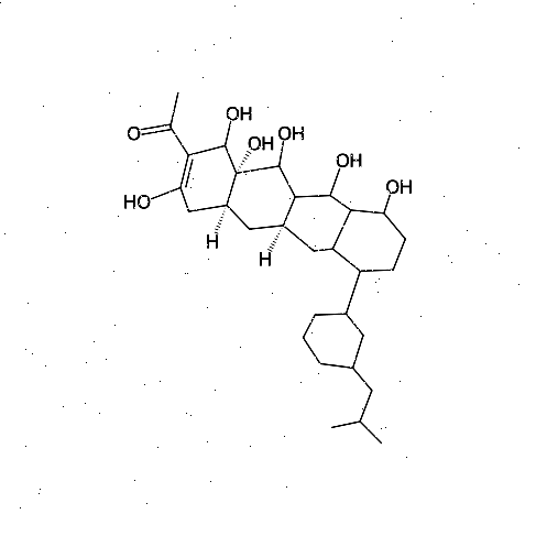 CC(=O)C1=C(O)C[C@@H]2C[C@@H]3CC4C(C5CCCC(CC(C)C)C5)CCC(O)C4C(O)C3C(O)[C@]2(O)C1O